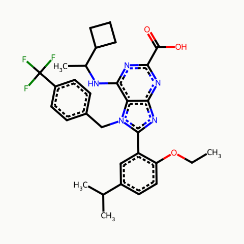 CCOc1ccc(C(C)C)cc1-c1nc2nc(C(=O)O)nc(NC(C)C3CCC3)c2n1Cc1ccc(C(F)(F)F)cc1